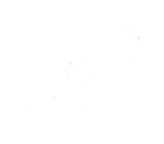 C=CC(=O)Nc1ccc2c(c1)N(Cc1ccccc1)C(=O)c1cc(-c3ccc4[nH]ccc4c3)ccc1N2